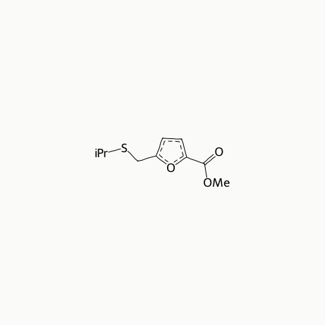 COC(=O)c1ccc(CSC(C)C)o1